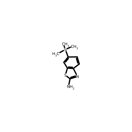 C[Si](C)(C)c1ccc2nc(N)sc2c1